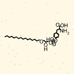 CCCCCCCCCCCCCCCCOC[C@H](O)COP(=O)(O)Oc1ccc(C[C@H](N)C(=O)O)cc1